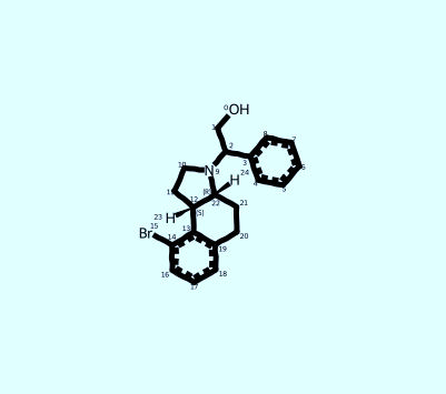 OCC(c1ccccc1)N1CC[C@H]2c3c(Br)cccc3CC[C@H]21